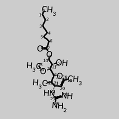 CCCCCCCC(=O)OC[C@@H](O)[C@@H](OC)[C@@H]1OC(C)=C[C@H](NC(=N)N)[C@H]1C